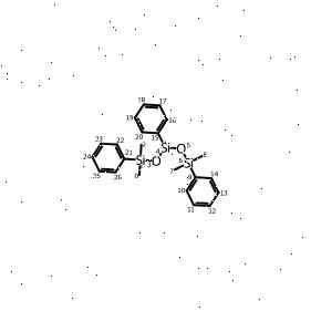 C[Si](C)(O[Si](O[Si](C)(C)c1ccccc1)c1ccccc1)c1ccccc1